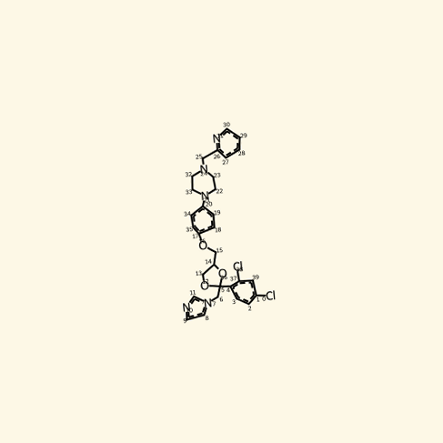 Clc1ccc(C2(Cn3ccnc3)OCC(COc3ccc(N4CCN(Cc5ccccn5)CC4)cc3)O2)c(Cl)c1